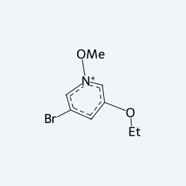 CCOc1cc(Br)c[n+](OC)c1